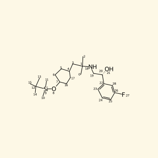 CC(C)(CC1CCC(O[Si](C)(C)C(C)(C)C)CC1)NC[C@H](O)c1cccc(F)c1